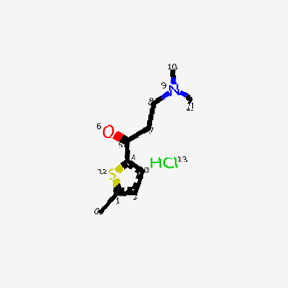 Cc1ccc(C(=O)CCN(C)C)s1.Cl